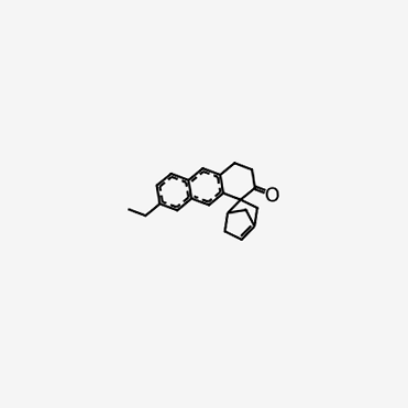 CCc1ccc2cc3c(cc2c1)C1(CC2=CCC1C2)C(=O)CC3